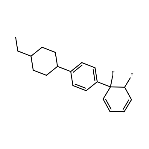 CCC1CCC(c2ccc(C3(F)C=CC=CC3F)cc2)CC1